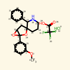 Cl.FC(F)(F)Oc1cccc(C23OC2CC2(CCCNC2c2ccccc2)O3)c1.O=C(O)C(F)(F)F